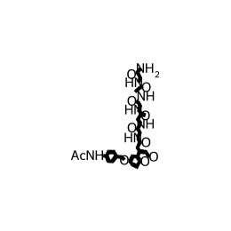 CC(=O)Nc1ccc(COc2ccc3oc(=O)cc(CC(=O)NCC(=O)NCC(=O)NCC(=O)NCC(=O)NCC(N)=O)c3c2)cc1